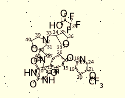 O=C(O)C(F)(F)F.O=C1NC(=O)C(c2ccc(Oc3ccc(OC(F)(F)F)cn3)cc2)(N2CC3(CN(CC4CCOC4)CCO3)C2)C(=O)N1